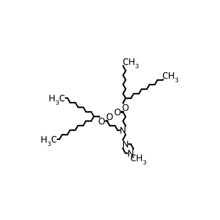 CCCCCCCCCCC(CCCCCCCC)COC(=O)CCCN(CCCC(=O)OCC(CCCCCCCC)CCCCCCCCCC)CCN1CCN(C)CC1